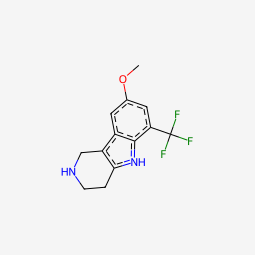 COc1cc(C(F)(F)F)c2[nH]c3c(c2c1)CNCC3